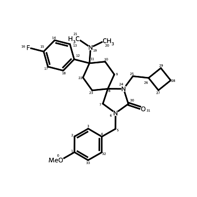 COc1ccc(CN2CC3(CCC(c4ccc(F)cc4)(N(C)C)CC3)N(CC3CCC3)C2=O)cc1